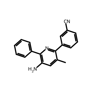 Cc1cc(N)c(-c2ccccc2)nc1-c1cccc(C#N)c1